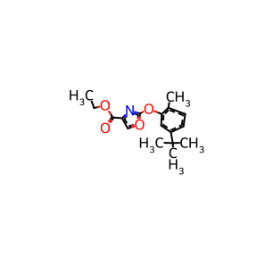 CCOC(=O)c1coc(Oc2cc(C(C)(C)C)ccc2C)n1